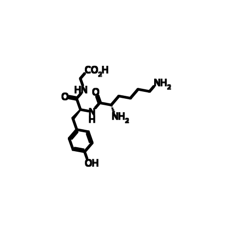 NCCCC[C@H](N)C(=O)N[C@@H](Cc1ccc(O)cc1)C(=O)NCC(=O)O